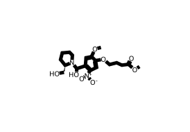 COC(=O)CCCOc1cc([N+](=O)[O-])c(C(O)N2CCCC[C@H]2CO)cc1OC